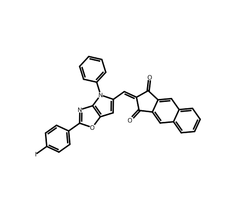 O=C1C(=Cc2cc3oc(-c4ccc(I)cc4)nc3n2-c2ccccc2)C(=O)c2cc3ccccc3cc21